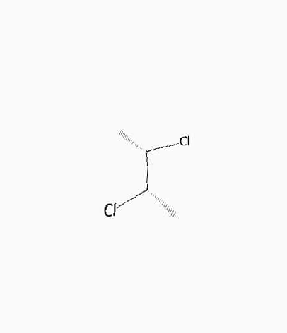 C[C@H](Cl)[C@H](C)Cl